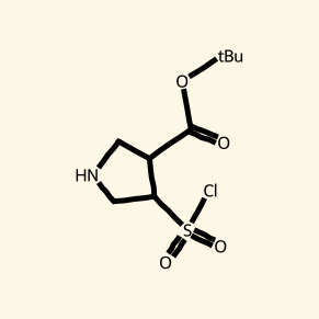 CC(C)(C)OC(=O)C1CNCC1S(=O)(=O)Cl